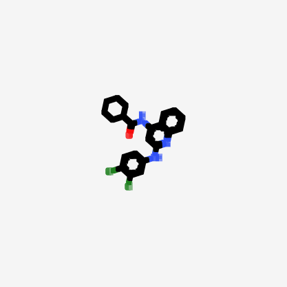 O=C(Nc1cc(Nc2ccc(Cl)c(Cl)c2)nc2ccccc12)C1CCCCC1